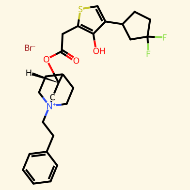 O=C(Cc1scc(C2CCC(F)(F)C2)c1O)O[C@H]1C[N+]2(CCc3ccccc3)CCC1CC2.[Br-]